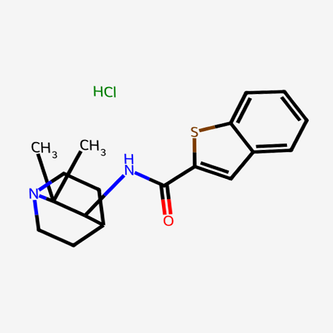 CC1(C)C(NC(=O)c2cc3ccccc3s2)C2CCN1CC2.Cl